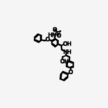 CS(=O)(=O)Nc1cc([C@@H](O)CN[C@H](CO)Cc2ccc(Oc3ccccc3)cc2)ccc1OCc1ccccc1